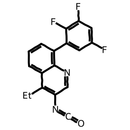 CCc1c(N=C=O)cnc2c(-c3cc(F)cc(F)c3F)cccc12